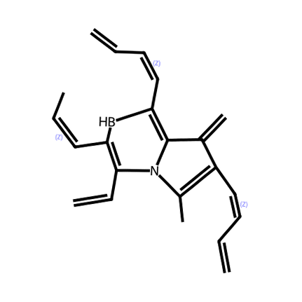 C=C/C=C\C1=c2c(=C)c(/C=C\C=C)c(C)n2C(C=C)=C(/C=C\C)B1